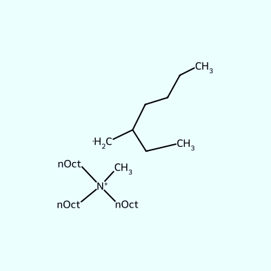 CCCCCCCC[N+](C)(CCCCCCCC)CCCCCCCC.[CH2]C(CC)CCCC